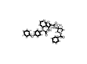 CC1(NC(=O)c2sc3nccc4c3c2NC(=O)N4c2ccc(Oc3ccccc3)cc2)CCN(C(=O)c2ccccc2)C1